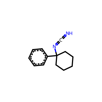 N=C=NC1(c2ccccc2)CCCCC1